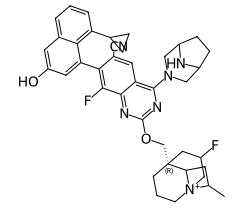 CC1CC2[C@@]3(COc4nc(N5CC6CCC(C5)N6)c5cc(C#N)c(-c6cc(O)cc7cccc(C8CC8)c67)c(F)c5n4)CCC[N+]12CC(F)C3